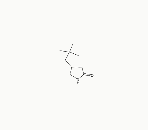 CC(C)(C)CC1CNC(=O)C1